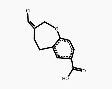 O=C(O)c1ccc2c(c1)CC/C(=C/Cl)CO2